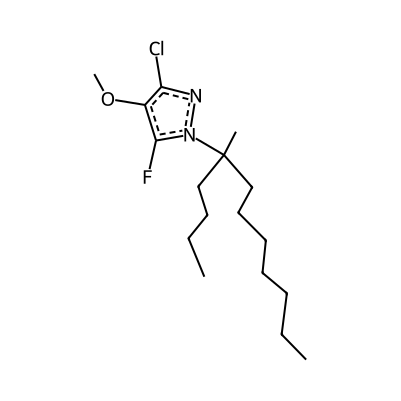 CCCCCCCC(C)(CCCC)n1nc(Cl)c(OC)c1F